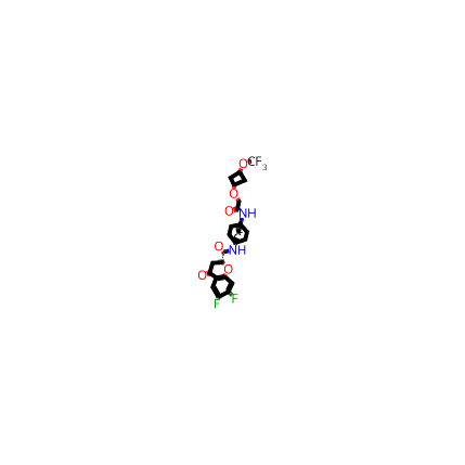 O=C(COC1CC(OC(F)(F)F)C1)NC12CCC(NC(=O)[C@H]3CC(=O)c4cc(F)c(F)cc4O3)(CC1)CC2